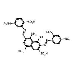 CC(=O)Nc1ccc(S(=O)(=O)O)c(N=Nc2cc(S(=O)(=O)O)c3cc(S(=O)(=O)O)c(N=Nc4ccc([N+](=O)[O-])cc4S(=O)(=O)O)c(O)c3c2N)c1